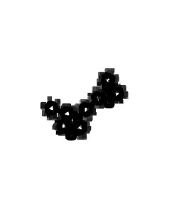 c1ccc(-c2ccc(N(c3ccc(-c4ccc5c(c4)Oc4cccc6c7ccccc7n-5c46)cc3)c3cccc4oc5ccccc5c34)cc2)cc1